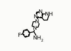 NCC(c1ccc(F)cc1)N1CCN(c2ncnc3c2CCCN3)CC1